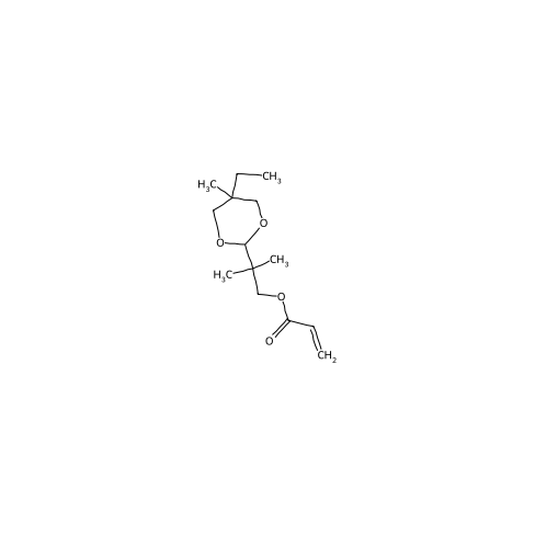 C=CC(=O)OCC(C)(C)C1OCC(C)(CC)CO1